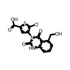 O=C(O)c1cc(-n2c(=O)[nH]c3cccc(CO)c3c2=O)c(Cl)s1